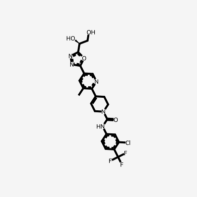 Cc1cc(-c2nnc([C@@H](O)CO)o2)cnc1C1=CCN(C(=O)Nc2ccc(C(F)(F)F)c(Cl)c2)CC1